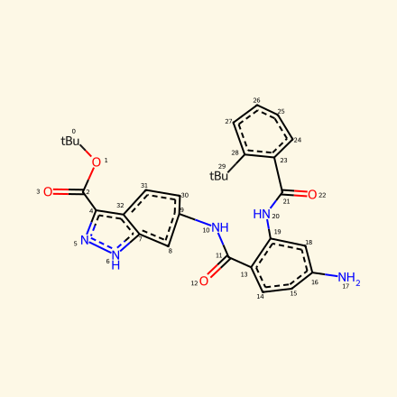 CC(C)(C)OC(=O)c1n[nH]c2cc(NC(=O)c3ccc(N)cc3NC(=O)c3ccccc3C(C)(C)C)ccc12